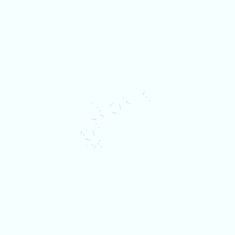 C[C@H]1CC[C@H](c2ccc3sc([C@@H]4CCN(C)C(=O)C4)nc3c2)N(C(=O)C(=O)Nc2cncc3[nH]ncc23)C1